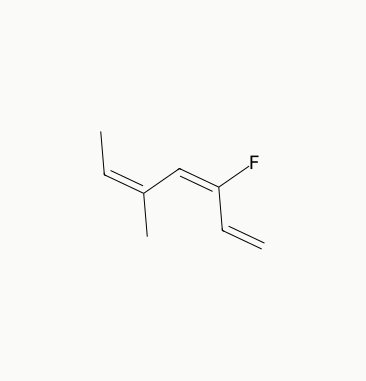 C=C/C(F)=C\C(C)=C/C